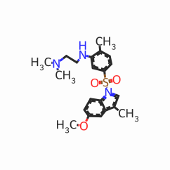 COc1ccc2c(c1)c(C)cn2S(=O)(=O)c1ccc(C)c(NCCN(C)C)c1